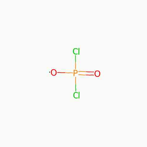 [O]P(=O)(Cl)Cl